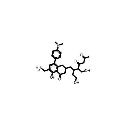 CC(=O)CC(=O)C(CO)C(CCO)CC1CC(=O)c2c(O)c(CN)cc(-c3ccc(N(C)C)cc3)c2C1